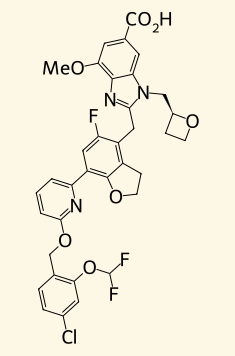 COc1cc(C(=O)O)cc2c1nc(Cc1c(F)cc(-c3cccc(OCc4ccc(Cl)cc4OC(F)F)n3)c3c1CCO3)n2C[C@@H]1CCO1